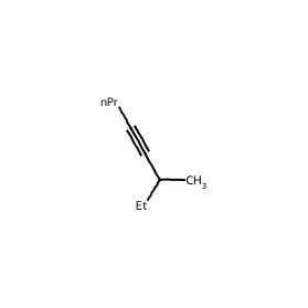 CCCC#CC(C)CC